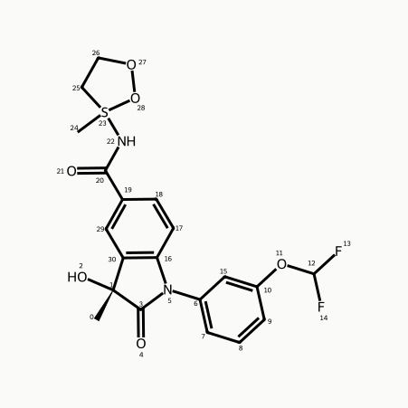 C[C@]1(O)C(=O)N(c2cccc(OC(F)F)c2)c2ccc(C(=O)NS3(C)CCOO3)cc21